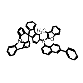 Cc1c(N(c2cccc3cc(-c4ccccc4)ccc23)C2C=CC3=C(C2)c2ccccc2C32c3ccccc3-n3c4ccccc4c4cccc2c43)oc2ccccc12